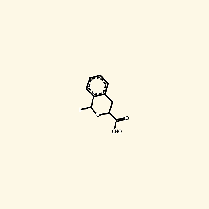 O=CC(=O)C1Cc2ccccc2C(I)O1